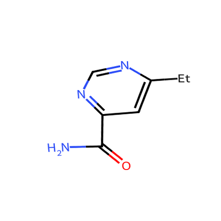 CCc1cc(C(N)=O)ncn1